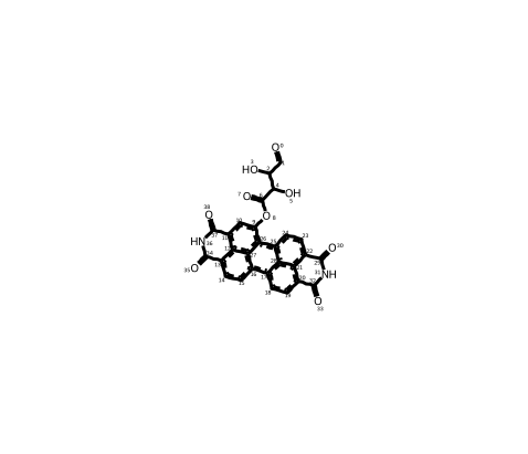 O=CC(O)C(O)C(=O)Oc1cc2c3c(ccc4c5ccc6c7c(ccc(c1c34)c75)C(=O)NC6=O)C(=O)NC2=O